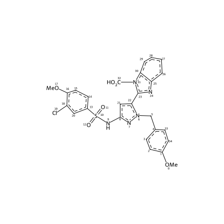 COc1ccc(Cn2nc(NS(=O)(=O)c3ccc(OC)c(Cl)c3)cc2-c2nc3ccccc3n2C(=O)O)cc1